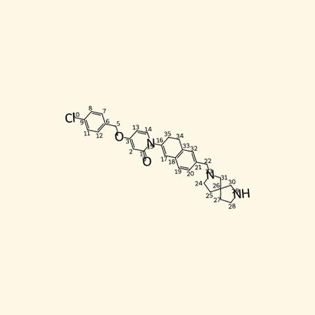 O=c1cc(OCc2ccc(Cl)cc2)ccn1C1=Cc2ccc(CN3CCC4(CCNC4)C3)cc2CC1